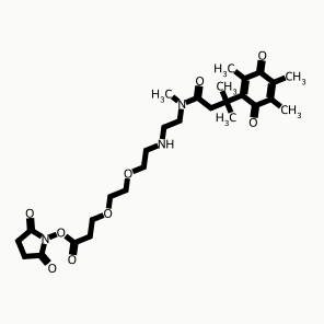 CC1=C(C)C(=O)C(C(C)(C)CC(=O)N(C)CCNCCOCCOCCC(=O)ON2C(=O)CCC2=O)=C(C)C1=O